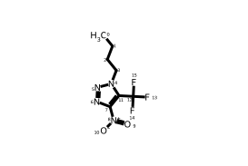 CCCCn1nnc([N+](=O)[O-])c1C(F)(F)F